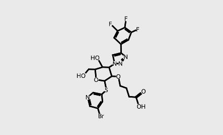 O=C(O)CCCOC1C(Sc2cncc(Br)c2)OC(CO)C(O)C1n1cc(-c2cc(F)c(F)c(F)c2)nn1